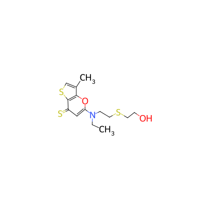 CCN(CCSCCO)c1cc(=S)c2scc(C)c2o1